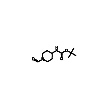 CC(C)(C)OC(=O)NC1CCN(C=O)CC1